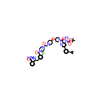 CC(C)(C)OC(=O)Nc1cc(-c2cccc(C3CC3)c2)cnc1C(=O)N1CCC(OC2CCN(CC(=O)N3CCN(C(=O)c4cc(Cc5n[nH]c(=O)c6ccccc56)ccc4F)CC3)CC2)CC1